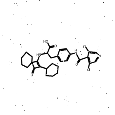 O=C(Nc1ccc(CC(NC2=C(C3CCCCC3)C(=O)C23CCCCC3)C(=O)O)cc1)c1c(Cl)cncc1Cl